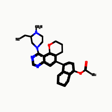 CC(C)(C)C(=O)Oc1ccc(-c2cc3ncnc(N4CCN(C(=O)O)C(CC#N)C4)c3c3c2CCCO3)c2ccccc12